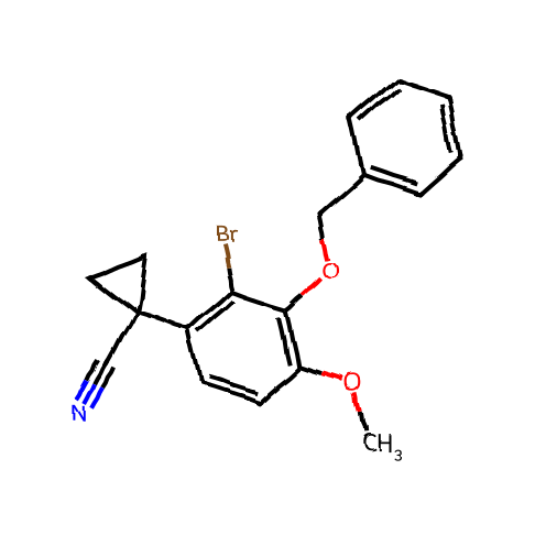 COc1ccc(C2(C#N)CC2)c(Br)c1OCc1ccccc1